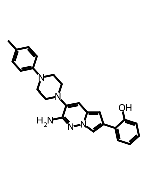 Cc1ccc(N2CCN(c3cc4cc(-c5ccccc5O)cn4nc3N)CC2)cc1